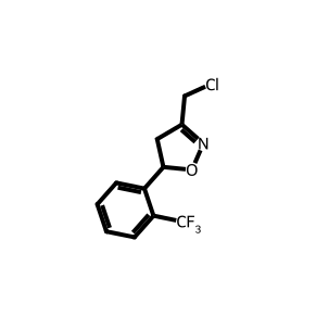 FC(F)(F)c1ccccc1C1CC(CCl)=NO1